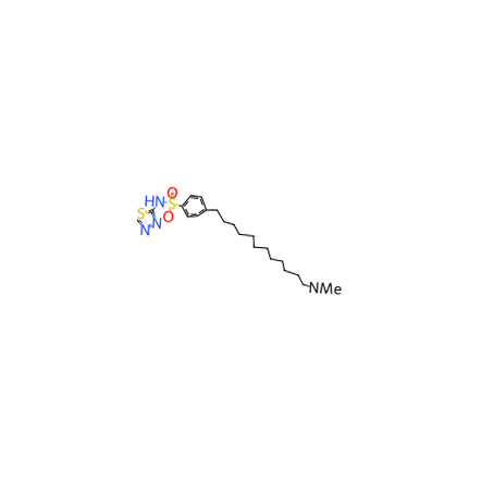 CNCCCCCCCCCCCCc1ccc(S(=O)(=O)Nc2nncs2)cc1